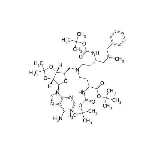 CN(Cc1ccccc1)CC(CCN(CCC(NC(=O)OC(C)(C)C)C(=O)OC(C)(C)C)C[C@H]1O[C@@H](n2cnc3c(N)ncnc32)[C@@H]2OC(C)(C)O[C@@H]21)NC(=O)OC(C)(C)C